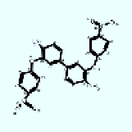 Nc1ccc(-c2ccc(N)c(Oc3ccc([N+](=O)[O-])cc3)c2)cc1Oc1ccc([N+](=O)[O-])cc1